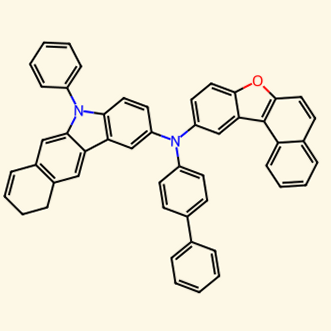 C1=Cc2cc3c(cc2CC1)c1cc(N(c2ccc(-c4ccccc4)cc2)c2ccc4oc5ccc6ccccc6c5c4c2)ccc1n3-c1ccccc1